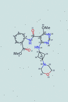 COC(=O)c1ccccc1NC(=O)c1c(NC23CC(N4CCOCC4)(C2)C3)ncnc1OC